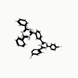 Fc1ccc(-c2nc(-c3ccc(F)cc3)nc(-c3cccc(-c4nc(-c5ccccc5)nc(-c5ccccc5)n4)c3)n2)cc1